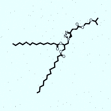 CCCCCCCCCCCCCC(=O)OCC(Cn1cc(CCC(=O)OCCOC(C)C)nn1)OC(=O)CCCCCCCCCCCCC